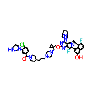 C#Cc1c(F)ccc2cc(O)cc(-c3ncc4c(N5CC6CCC(C5)N6)nc(OCC5(CN6CCN(CCCC7CCN(C(=O)c8ccc(Cl)c(N9C=CCNC9)c8)CC7)CC6)CC5)nc4c3F)c12